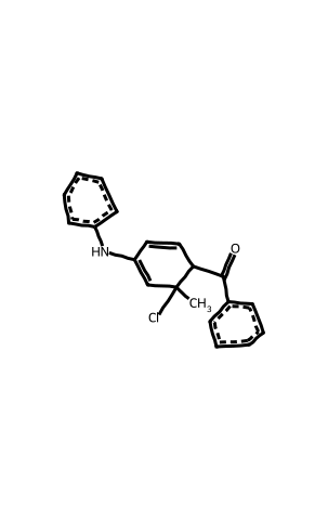 CC1(Cl)C=C(Nc2ccccc2)C=CC1C(=O)c1ccccc1